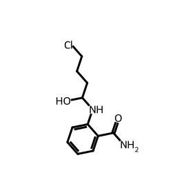 NC(=O)c1ccccc1NC(O)CCCCl